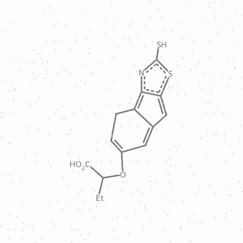 CCC(OC1=CCC2=c3nc(S)sc3=CC2=C1)C(=O)O